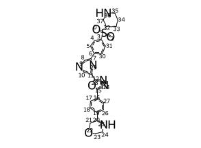 O=S(=O)(c1ccc(-c2cncc(-c3nnc(-c4ccc(C5COCCN5)cc4)o3)n2)cc1)C1CCCNC1